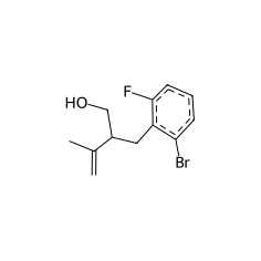 C=C(C)C(CO)Cc1c(F)cccc1Br